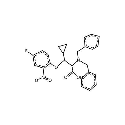 O=C(O)C(C(Oc1ccc(F)cc1[N+](=O)[O-])C1CC1)N(Cc1ccccc1)Cc1ccccc1